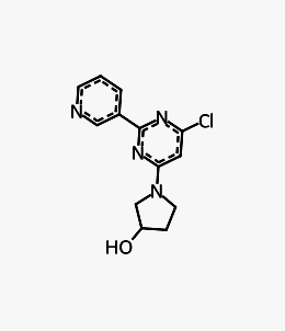 OC1CCN(c2cc(Cl)nc(-c3cccnc3)n2)C1